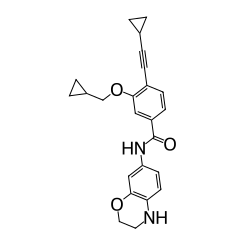 O=C(Nc1ccc2c(c1)OCCN2)c1ccc(C#CC2CC2)c(OCC2CC2)c1